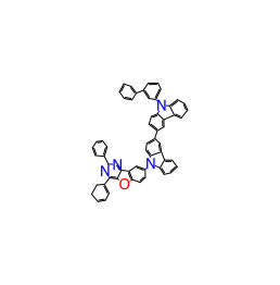 C1=CCCC(c2nc(-c3ccccc3)nc3c2oc2ccc(-n4c5ccccc5c5cc(-c6ccc7c(c6)c6ccccc6n7-c6cccc(-c7ccccc7)c6)ccc54)cc23)=C1